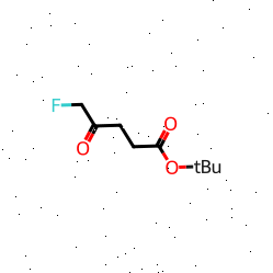 CC(C)(C)OC(=O)CCC(=O)CF